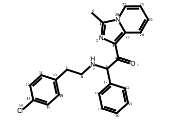 Cc1nc(C(=O)C(NCCc2ccc(Cl)cc2)c2ccccc2)c2ccccn12